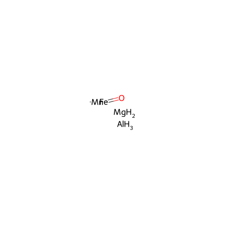 [AlH3].[MgH2].[Mn].[O]=[Fe]